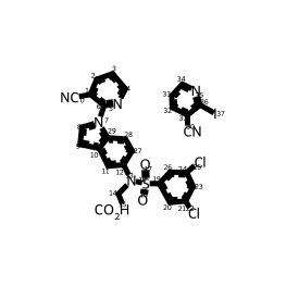 N#Cc1cccnc1-n1ccc2cc(N(CC(=O)O)S(=O)(=O)c3cc(Cl)cc(Cl)c3)ccc21.N#Cc1cccnc1I